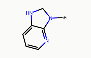 CC(C)N1CNc2cccnc21